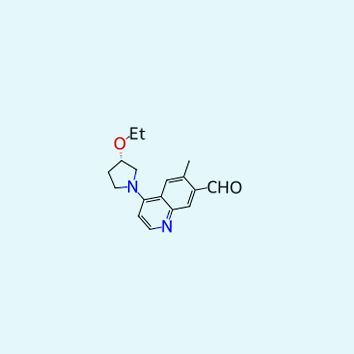 CCO[C@H]1CCN(c2ccnc3cc(C=O)c(C)cc23)C1